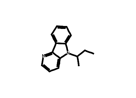 CCC(C)n1c2ccccc2c2ncccc21